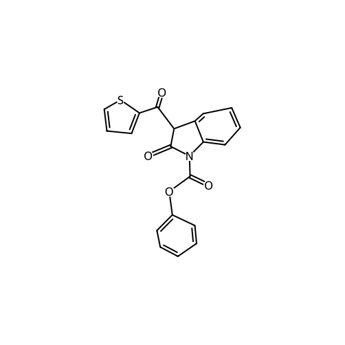 O=C(c1cccs1)C1C(=O)N(C(=O)Oc2ccccc2)c2ccccc21